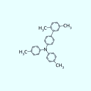 Cc1ccc(N(c2ccc(C)cc2)c2ccc(-c3cc(C)ccc3C)cc2)cc1